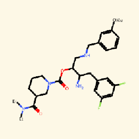 CCN(CC)C(=O)C1CCCN(C(=O)OC(CNCc2cccc(OC)c2)C(N)Cc2cc(F)cc(F)c2)C1